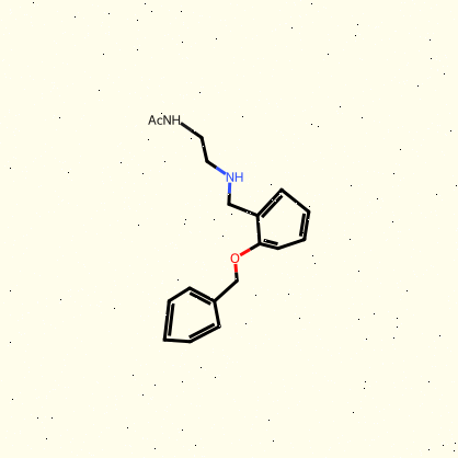 CC(=O)NCCNCc1ccccc1OCc1ccccc1